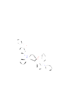 c1ccc(N(c2ccc3c(c2)oc2ccccc23)c2ccc3oc4c(N(c5ccccc5)c5ccccc5)cccc4c3c2)cc1